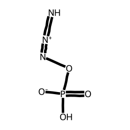 N=[N+]=NOP(=O)([O-])O